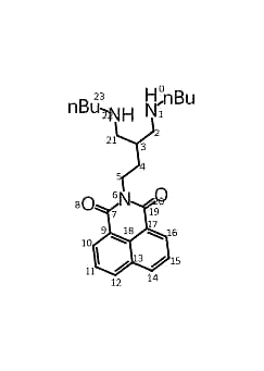 CCCCNCC(CCN1C(=O)c2cccc3cccc(c23)C1=O)CNCCCC